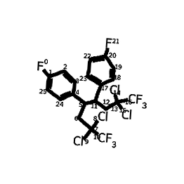 Fc1ccc(C(CC(Cl)(Cl)C(F)(F)F)C(CC(Cl)(Cl)C(F)(F)F)c2ccc(F)cc2)cc1